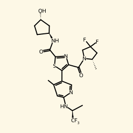 Cc1cc(N[C@@H](C)C(F)(F)F)ncc1-c1sc(C(=O)N[C@H]2CC[C@H](O)C2)nc1C(=O)N1CC(F)(F)C[C@@H]1C